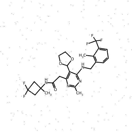 Cc1nc(CC(=O)NC2(C)CC(F)(F)C2)c(C2OCCO2)c(NCc2cccc(C(F)(F)F)c2C)n1